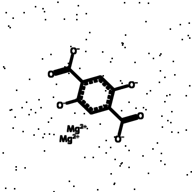 O=C([O-])c1cc([O-])c(C(=O)[O-])cc1[O-].[Mg+2].[Mg+2]